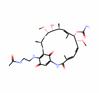 CO[C@H]1C[C@H](C)CC2=C(NCCNC(C)=O)C(=O)C=C(NC(=O)/C(C)=C/C=C\[C@@H](OC)[C@@H](OC(N)=O)/C(C)=C/[C@H](C)[C@H]1O)C2=O